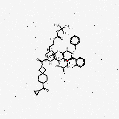 CC(C)C[C@@H](NC(=O)[C@@H](Cc1ccccc1)NC(=O)[C@@H](Cc1ccccc1)NC(=O)OC(C)(C)C)C(=O)N[C@H](CCCCNC(=O)OC(C)(C)C)C(=O)N1CC2(CCN(C(=O)C3CC3)CC2)C1